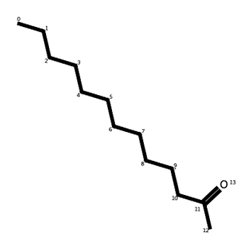 CCCCCCCCC[CH]CC(C)=O